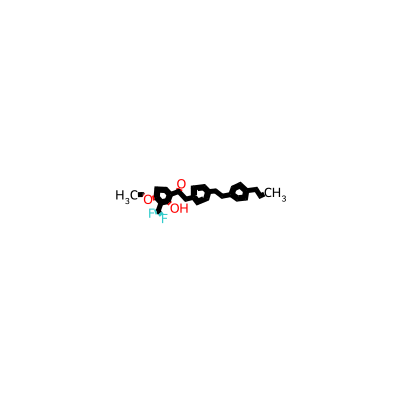 CCCc1ccc(CCc2ccc(CC(=O)c3ccc(OCC)c(C(F)F)c3O)cc2)cc1